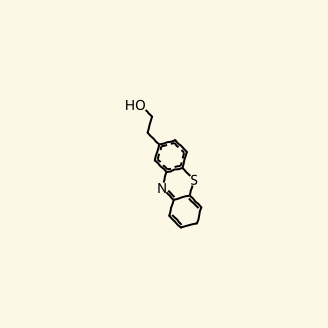 OCCc1ccc2c(c1)N=C1C=CCC=C1S2